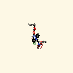 COCCOCCOCCN1C(=O)c2ccc(Cl)cc2N(CCCCN(C(=O)OC(C)(C)C)C(=O)OC(C)(C)C)c2ccccc21